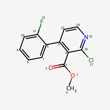 COC(=O)c1c(-c2ccccc2F)ccnc1Cl